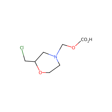 O=C(O)OCN1CCOC(CCl)C1